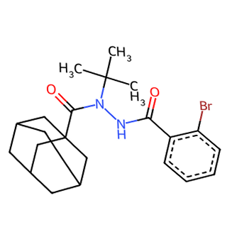 CC(C)(C)N(NC(=O)c1ccccc1Br)C(=O)C12CC3CC(CC(C3)C1)C2